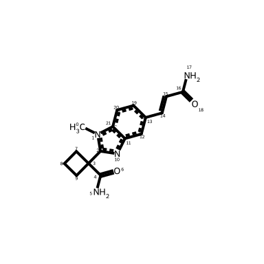 Cn1c(C2(C(N)=O)CCC2)nc2cc(/C=C/C(N)=O)ccc21